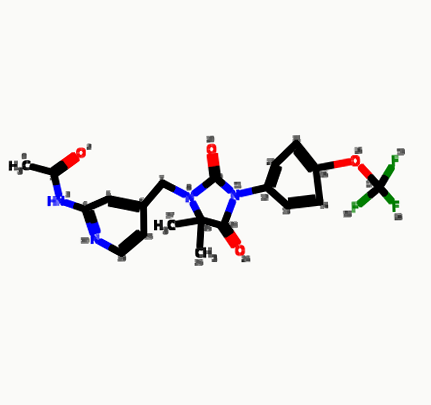 CC(=O)Nc1cc(CN2C(=O)N(c3ccc(OC(F)(F)F)cc3)C(=O)C2(C)C)ccn1